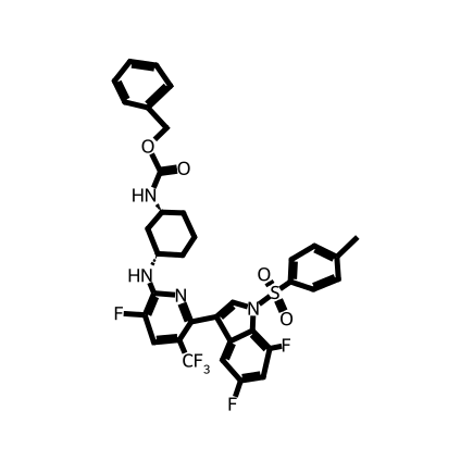 Cc1ccc(S(=O)(=O)n2cc(-c3nc(N[C@H]4CCC[C@@H](NC(=O)OCc5ccccc5)C4)c(F)cc3C(F)(F)F)c3cc(F)cc(F)c32)cc1